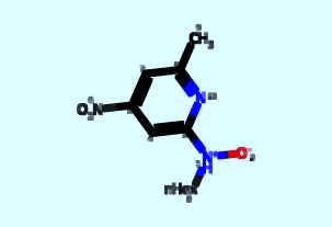 CCCCCC[NH+]([O-])c1cc([N+](=O)[O-])cc(C)n1